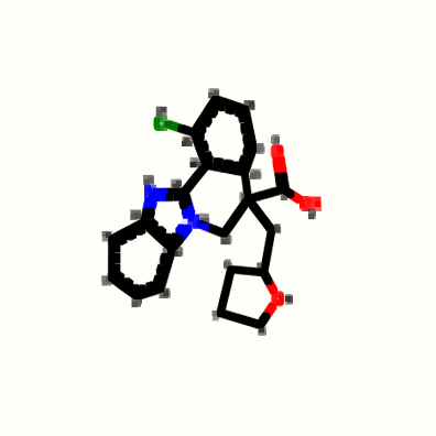 O=C(O)C1(CC2CCCO2)Cn2c(nc3ccccc32)-c2c(Cl)cccc21